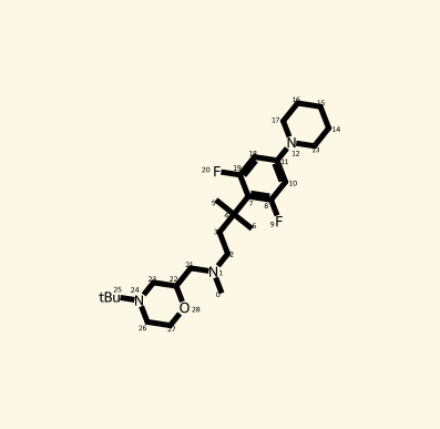 CN(CCC(C)(C)c1c(F)cc(N2CCCCC2)cc1F)CC1CN(C(C)(C)C)CCO1